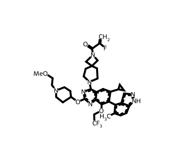 C=C(F)C(=O)N1CC2(CCN(c3nc(OC4CCN(CCOC)CC4)nc4c(OCC(F)(F)F)c(-c5c(C)ccc6[nH]ncc56)c(C5CC5)cc34)CC2)C1